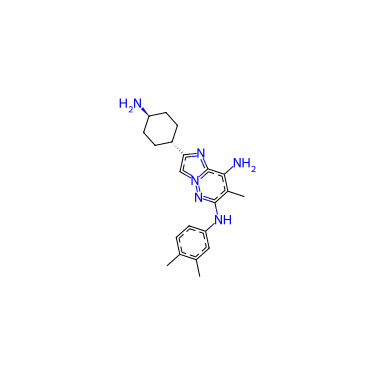 Cc1ccc(Nc2nn3cc([C@H]4CC[C@H](N)CC4)nc3c(N)c2C)cc1C